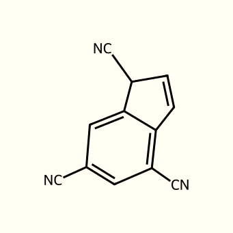 N#Cc1cc(C#N)c2c(c1)C(C#N)C=C2